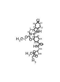 CCOC(=O)N1CCc2c([nH]c3ccc(Cl)cc23)C1c1ccc(C(=O)NCC2COC(C)(C)O2)cc1